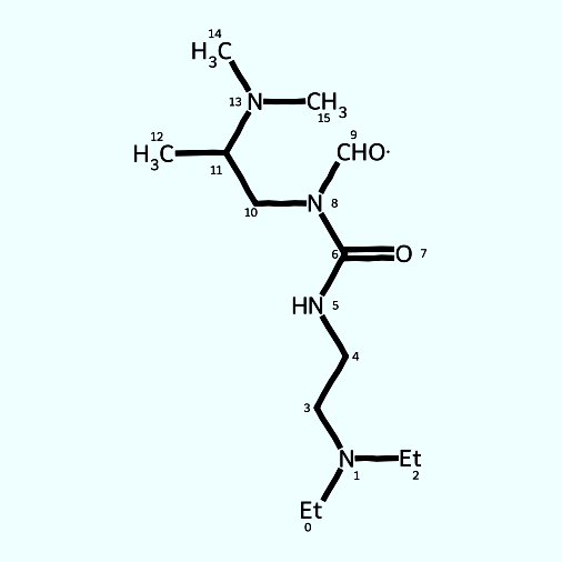 CCN(CC)CCNC(=O)N([C]=O)CC(C)N(C)C